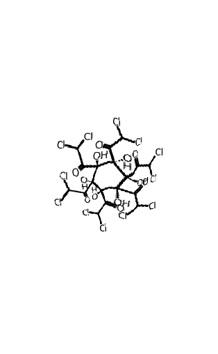 O=C(C(Cl)Cl)[C@]1(O)[C@@](O)(C(=O)C(Cl)Cl)[C@](O)(C(=O)C(Cl)Cl)[C@@](O)(C(=O)C(Cl)Cl)[C@](O)(C(=O)C(Cl)Cl)[C@]1(O)C(=O)C(Cl)Cl